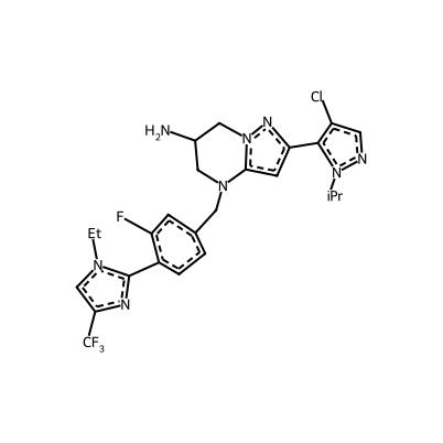 CCn1cc(C(F)(F)F)nc1-c1ccc(CN2CC(N)Cn3nc(-c4c(Cl)cnn4C(C)C)cc32)cc1F